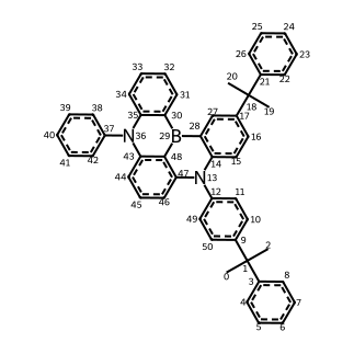 CC(C)(c1ccccc1)c1ccc(N2c3ccc(C(C)(C)c4ccccc4)cc3B3c4ccccc4N(c4ccccc4)c4cccc2c43)cc1